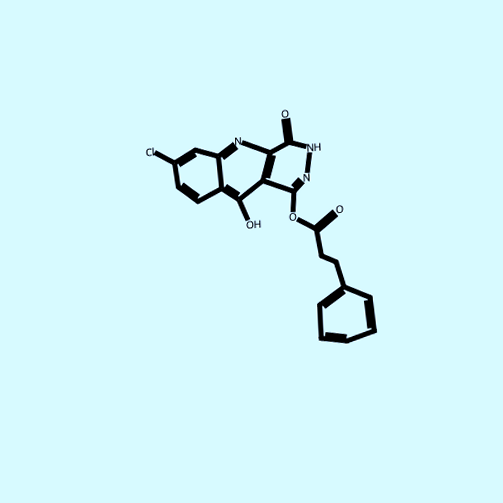 O=C(CCc1ccccc1)Oc1n[nH]c(=O)c2nc3cc(Cl)ccc3c(O)c12